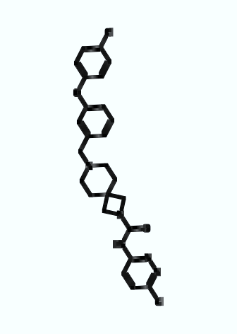 O=C(Nc1ccc(Cl)nn1)N1CC2(CCN(Cc3cccc(Oc4ccc(Cl)cc4)c3)CC2)C1